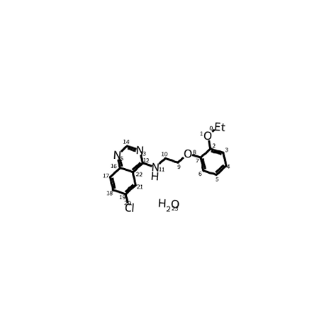 CCOc1ccccc1OCCNc1ncnc2ccc(Cl)cc12.O